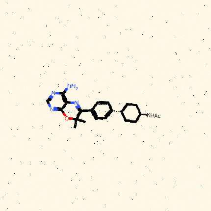 CC(=O)N[C@H]1CC[C@H](c2ccc(C3=Nc4c(N)ncnc4OC3(C)C)cc2)CC1